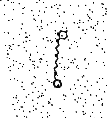 c1ccc(COCCCCOCCCOC2CCCCO2)cc1